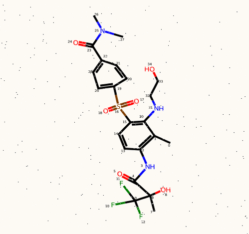 Cc1c(NC(=O)C(C)(O)C(F)(F)F)ccc(S(=O)(=O)c2ccc(C(=O)N(C)C)cc2)c1NCCO